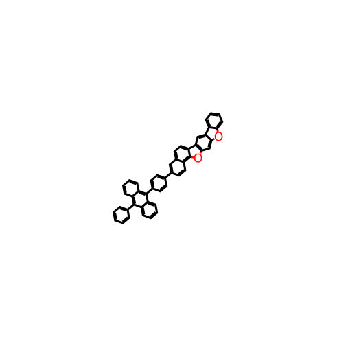 c1ccc(-c2c3ccccc3c(-c3ccc(-c4ccc5c(ccc6c7cc8c(cc7oc56)oc5ccccc58)c4)cc3)c3ccccc23)cc1